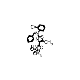 Cc1sc(N(Cc2ccccc2)c2ccccc2Cl)nc1C(=O)NS(C)(=O)=O